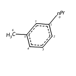 CCCc1cccc(C)c1